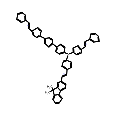 CC1(C)c2ccccc2-c2ccc(/C=C/c3ccc(N(c4ccc(/C=C/c5ccccc5)cc4)c4ccc(-c5ccc(-c6ccc(/C=C/c7ccccc7)cc6)cc5)cc4)cc3)cc21